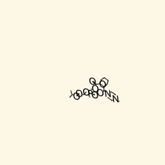 CC(C)OOCOP(C)(=O)COC(=O)C1C2CCC(O2)C1C(=O)N1CCN(C)CC1